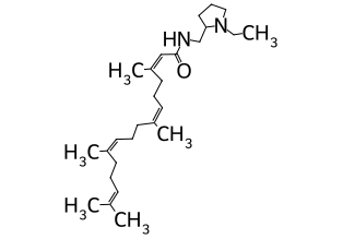 CCN1CCCC1CNC(=O)C=C(C)CCC=C(C)CCC=C(C)CCC=C(C)C